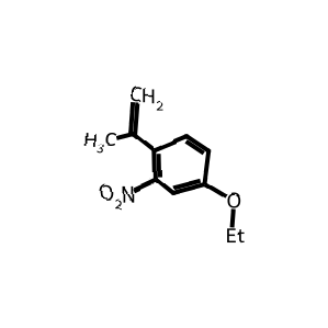 C=C(C)c1ccc(OCC)cc1[N+](=O)[O-]